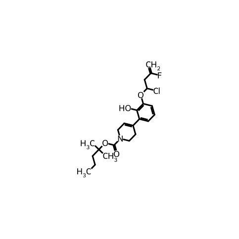 C=C(F)CC(Cl)Oc1cccc(C2=CCN(C(=O)OC(C)(C)CCC)CC2)c1O